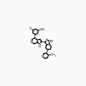 Cc1ccncc1-c1ccc2[nH]nc(-c3cc4c(-c5cc(O)cc(F)c5)cncc4[nH]3)c2c1